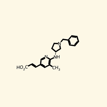 Cc1cc(C=CC(=O)O)cnc1N[C@@H]1CCN(Cc2ccccc2)C1